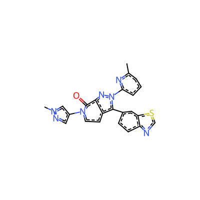 Cc1cccc(-n2nc3c(=O)n(-c4cnn(C)c4)ccc3c2-c2ccc3ncsc3c2)n1